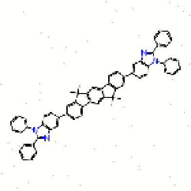 CC1(C)c2cc(-c3ccc4c(c3)nc(-c3ccccc3)n4-c3ccccc3)ccc2-c2cc3c(cc21)-c1ccc(-c2ccc4c(c2)nc(-c2ccccc2)n4-c2ccccc2)cc1C3(C)C